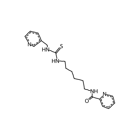 O=C(NCCCCCCNC(=S)NCc1cccnc1)c1ccccn1